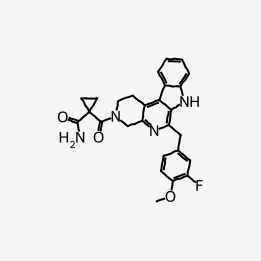 COc1ccc(Cc2nc3c(c4c2[nH]c2ccccc24)CCN(C(=O)C2(C(N)=O)CC2)C3)cc1F